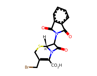 O=C(O)C1=C(CBr)CS[C@@H]2C(N3C(=O)c4ccccc4C3=O)C(=O)N12